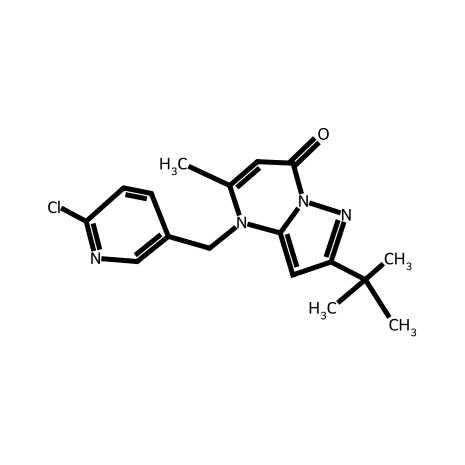 Cc1cc(=O)n2nc(C(C)(C)C)cc2n1Cc1ccc(Cl)nc1